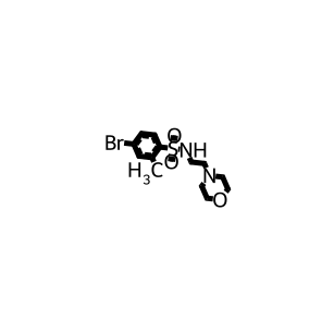 Cc1cc(Br)ccc1S(=O)(=O)NCCN1CCOCC1